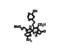 CON=CC(=O)NC1(c2csc(N)n2)S[C@H]2CC(=O)N2C(C(=O)O)=C1CSc1cc(O)ncn1